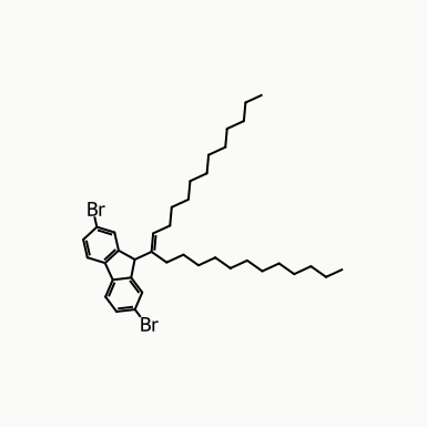 CCCCCCCCCCCC=C(CCCCCCCCCCCC)C1c2cc(Br)ccc2-c2ccc(Br)cc21